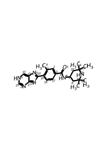 Cc1cc(C(=O)NC2CC(C)(C)NC(C)(C)C2)ccc1-c1nc2c[nH]cnc-2n1